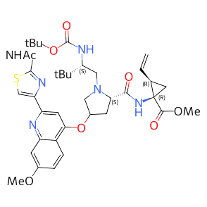 C=C[C@H]1C[C@]1(NC(=O)[C@@H]1CC(Oc2cc(-c3csc(NC(C)=O)n3)nc3cc(OC)ccc23)CN1C[C@@H](NC(=O)OC(C)(C)C)C(C)(C)C)C(=O)OC